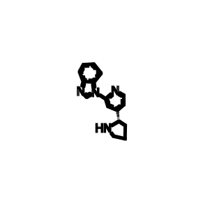 c1ccc2c(c1)ncn2-c1cc([C@@H]2CCCN2)ccn1